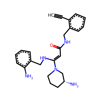 C#Cc1ccccc1CNC(=O)/C=C(\NCc1ccccc1N)N1CCC[C@@H](N)C1